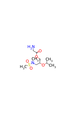 CC(C)O[C@H](COC(=O)CN)CN(C)S(C)(=O)=O